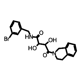 O=C(NCc1cccc(Br)c1)C(O)C(O)C(=O)N1CCc2ccccc2C1